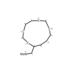 CNCC1CCCCCCCCCCC1